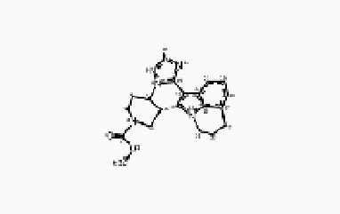 CC(C)(C)OC(=O)N1CCC(n2nnnc2-c2cn3c4c(cccc24)CCC3)CC1